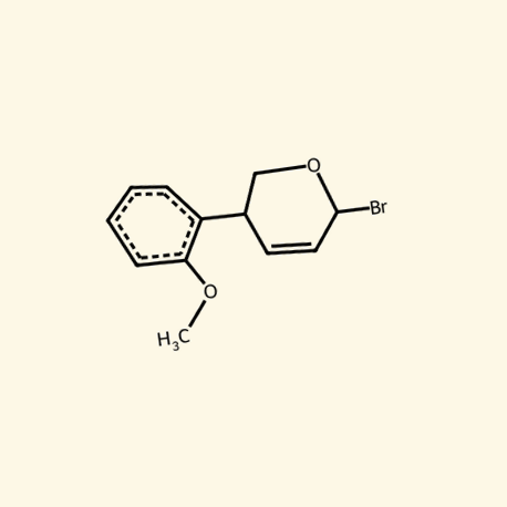 COc1ccccc1C1C=CC(Br)OC1